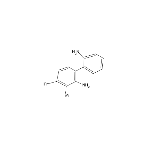 CC(C)c1ccc(-c2ccccc2N)c(N)c1C(C)C